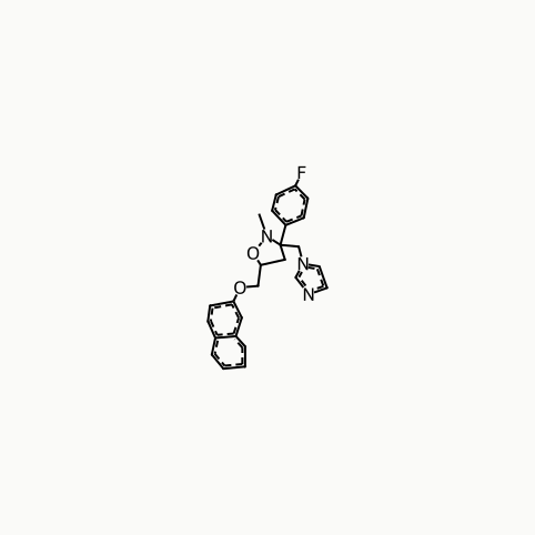 CN1OC(COc2ccc3ccccc3c2)CC1(Cn1ccnc1)c1ccc(F)cc1